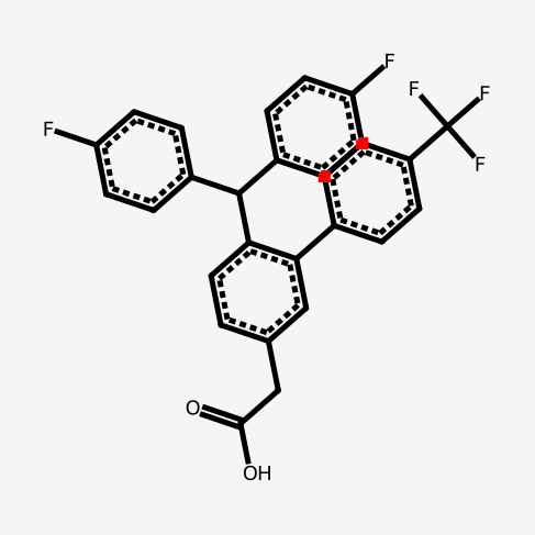 O=C(O)Cc1ccc(C(c2ccc(F)cc2)c2ccc(F)cc2)c(-c2ccc(C(F)(F)F)cc2)c1